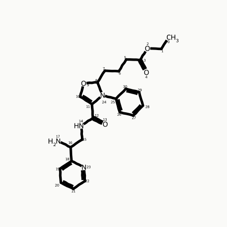 CCOC(=O)CCCC1OC=C(C(=O)NCC(N)c2ccccn2)N1c1ccccc1